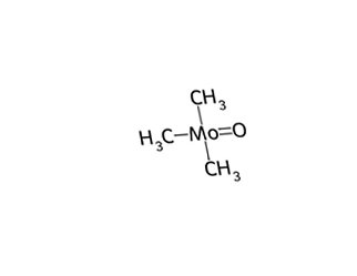 [CH3][Mo]([CH3])([CH3])=[O]